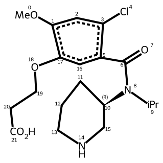 COc1cc(Cl)c(C(=O)N(C(C)C)[C@@H]2CCCNC2)cc1OCCC(=O)O